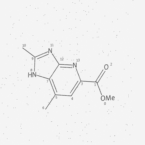 COC(=O)c1cc(C)c2[nH]c(C)nc2n1